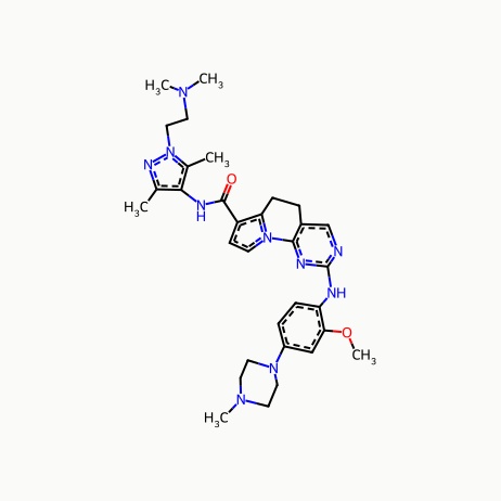 COc1cc(N2CCN(C)CC2)ccc1Nc1ncc2c(n1)-n1ccc(C(=O)Nc3c(C)nn(CCN(C)C)c3C)c1CC2